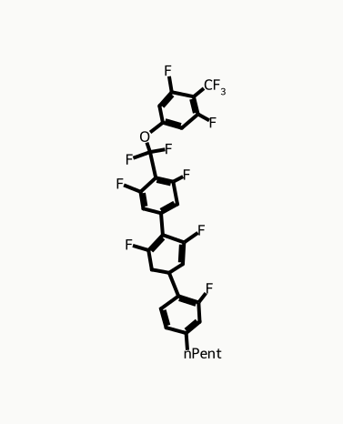 CCCCCc1ccc(C2C=C(F)C(c3cc(F)c(C(F)(F)Oc4cc(F)c(C(F)(F)F)c(F)c4)c(F)c3)=C(F)C2)c(F)c1